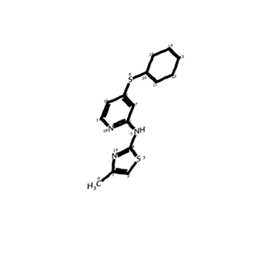 Cc1csc(Nc2cc(SC3CCCCC3)ccn2)n1